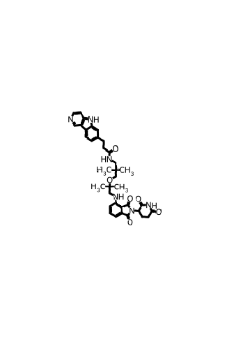 CC(C)(CNC(=O)CCc1ccc2c(c1)[nH]c1ccncc12)COC(C)(C)CNc1cccc2c1C(=O)N(C1CCC(=O)NC1=O)C2=O